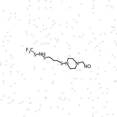 O=NCN1CCN(SCCCSNSC(F)(F)F)CC1